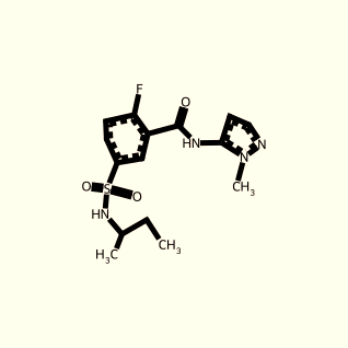 CCC(C)NS(=O)(=O)c1ccc(F)c(C(=O)Nc2ccnn2C)c1